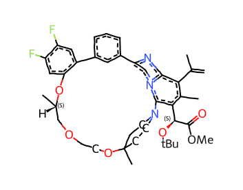 C=C(C)c1c(C)c([C@H](OC(C)(C)C)C(=O)OC)c2n3cc(nc13)-c1cccc(c1)-c1cc(F)c(F)cc1O[C@@H](C)COCCOC1(C)CCN2CC1